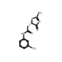 Cc1cccc(NC(=O)C[C@@H]2SC(N)=NC2=O)c1